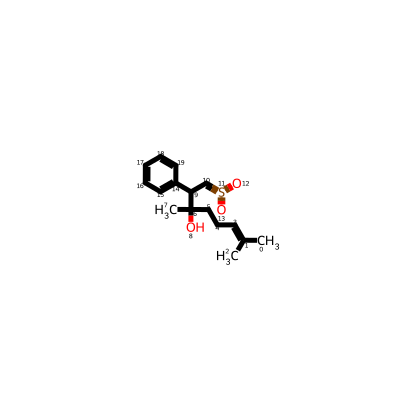 CC(C)=CCCC(C)(O)C(C=S(=O)=O)c1ccccc1